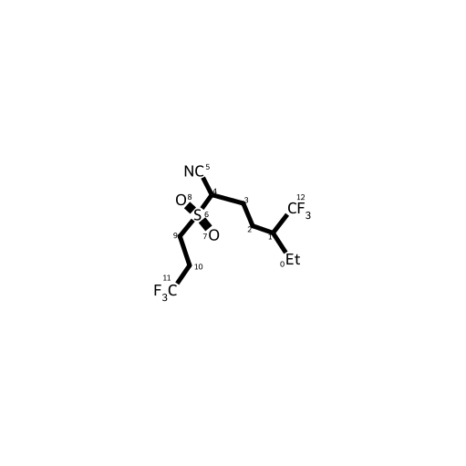 CCC(CCC(C#N)S(=O)(=O)CCC(F)(F)F)C(F)(F)F